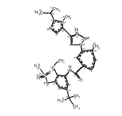 COc1c(NC(=O)c2ccc(C)c(N3C=C(c4cnc(C(C)C)n4C)NN3)c2)cc(C(C)(C)C)cc1NS(C)(=O)=O